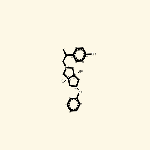 CC(CN1C[C@H]2C[C@H](Sc3ccccc3)C[C@@]2(C)C1)c1ccc(O)cc1